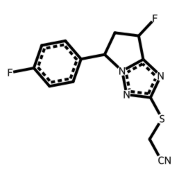 N#CCSc1nc2n(n1)C(c1ccc(F)cc1)CC2F